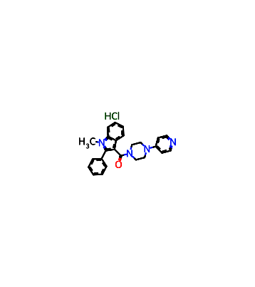 Cl.Cn1c(-c2ccccc2)c(C(=O)N2CCN(c3ccncc3)CC2)c2ccccc21